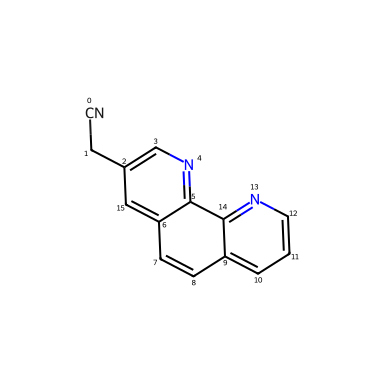 N#CCc1cnc2c(ccc3cccnc32)c1